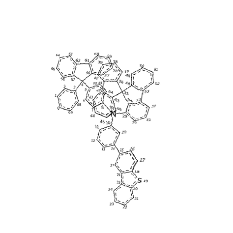 c1ccc(C2(c3ccc(N(c4cccc(-c5ccc6sc7ccccc7c6c5)c4)c4cccc5c4C4(c6ccccc6-c6ccccc64)c4ccccc4-5)cc3)c3ccccc3-c3ccccc32)cc1